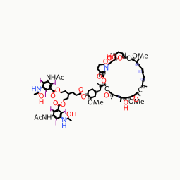 CO[C@H]1C[C@@H]2CC[C@@H](C)[C@@](O)(O2)C(=O)C(=O)N2CCCC[C@H]2C(=O)O[C@H]([C@H](C)C[C@@H]2CC[C@@H](OC(=O)CCC(CCOC(=O)c3c(I)c(NC(C)=O)c(I)c(NC(C)O)c3I)CCOC(=O)c3c(I)c(NC(C)=O)c(I)c(NC(C)O)c3I)[C@H](OC)C2)CC(=O)[C@H](C)/C=C(\C)[C@@H](O)[C@@H](OC)C(=O)[C@H](C)C[C@H](C)/C=C/C=C/C=C/1C